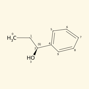 C[CH][C@H](O)c1ccccc1